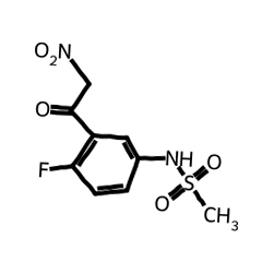 CS(=O)(=O)Nc1ccc(F)c(C(=O)C[N+](=O)[O-])c1